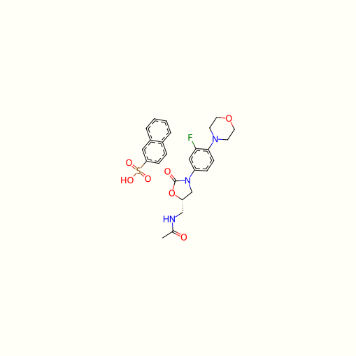 CC(=O)NC[C@H]1CN(c2ccc(N3CCOCC3)c(F)c2)C(=O)O1.O=S(=O)(O)c1ccc2ccccc2c1